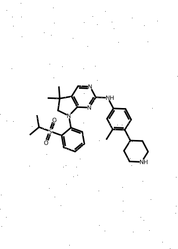 Cc1cc(Nc2ncc3c(n2)N(c2ccccc2S(=O)(=O)C(C)C)CC3(C)C)ccc1C1CCNCC1